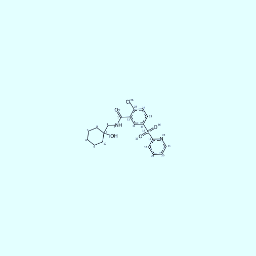 O=C(NCC1(O)CCCCC1)c1cc(S(=O)(=O)c2ccccn2)ccc1Cl